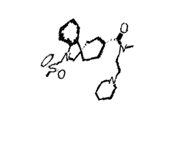 CN(CCN1CCCCC1)C(=O)[C@H]1CC[C@]2(CC1)CN(S(C)(=O)=O)c1ccccc12